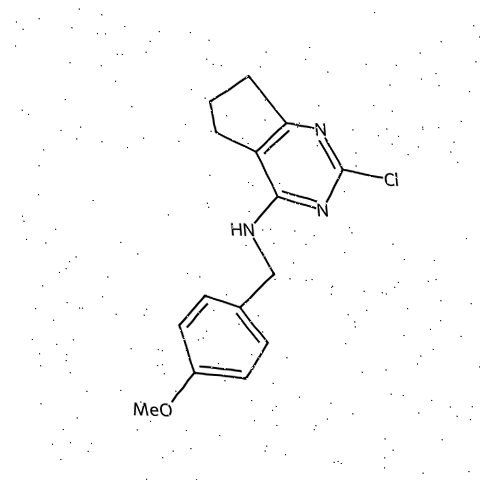 COc1ccc(CNc2nc(Cl)nc3c2CCC3)cc1